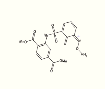 C=C1C(S(=O)(=O)Nc2cc(C(=O)OC)ccc2C(=O)OC)=CC=C/C1=N/ON